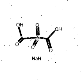 O=C(O)S(=O)(=O)C(=O)O.[NaH]